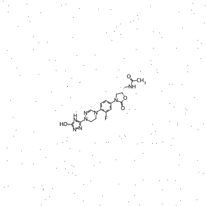 CC(=O)NC[C@H]1CN(c2ccc(N3C=NN(c4nnc(O)[nH]4)CC3)c(F)c2)C(=O)O1